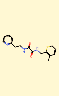 CC1=C(CNC(=O)C(=O)NCCc2ccccn2)SCC=C1